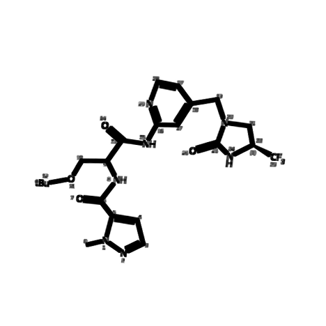 Cn1nccc1C(=O)NC(COC(C)(C)C)C(=O)Nc1cc(CN2C[C@@H](C(F)(F)F)NC2=O)ccn1